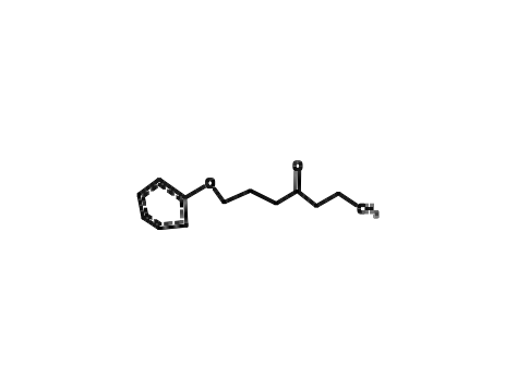 CCCC(=O)CCCOc1ccccc1